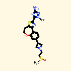 CC(C)n1nc(N)nc1-c1nc2c(s1)CCOc1cc(C3CN(CC[S+](C)[O-])C3)ccc1-2